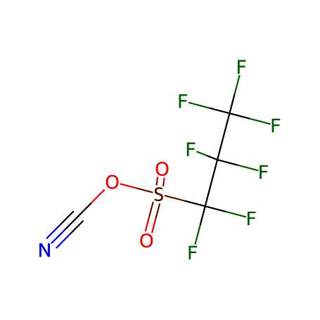 N#COS(=O)(=O)C(F)(F)C(F)(F)C(F)(F)F